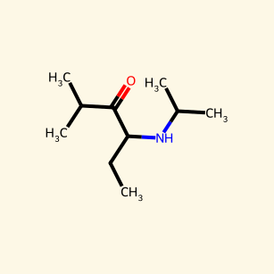 CCC(NC(C)C)C(=O)C(C)C